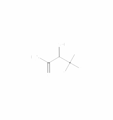 NC(=O)C([SiH3])C(F)(F)F